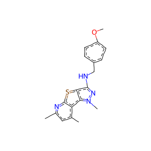 COc1ccc(CNc2nn(C)c3c2sc2nc(C)cc(C)c23)cc1